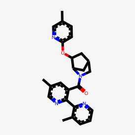 Cc1ccc(OC2CC3CC2N(C(=O)c2cc(C)cnc2-c2ncccc2C)C3)nc1